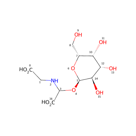 O=C(O)CNC(O[C@H]1O[C@H](CO)[C@H](O)[C@H](O)[C@H]1O)C(=O)O